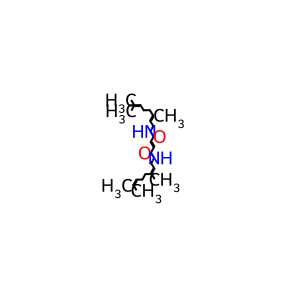 CC(C)=CCCC(C)=CCNC(=O)C=CC(=O)NCC=C(C)CCC=C(C)C